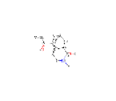 COC(=O)C1CC2CC3CN(C)C(=O)C(C2)C31